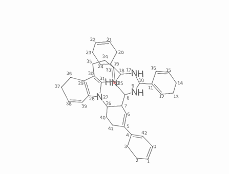 C1=CCCC(C2=CC(C3NC(C4=CCCC=C4)NC(C4CC=CCC4)N3)C(n3c4c(c5c3C=CCC5)CCC=C4)CC2)=C1